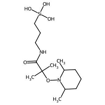 CC1CCCC(C)N1OC(C)(C)C(=O)NCCC[Si](O)(O)O